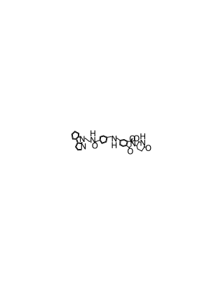 O=C1CCC(N2C(=O)c3ccc(CNCc4ccc(C(=O)NCCn5c6ccccc6c6cccnc65)cc4)cc3C2=O)C(=O)N1